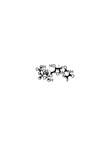 C[C@@H](OP(=O)(O)OP(=O)(O)OP(=O)(O)O)[C@H]1O[C@@H](n2nc(F)c(=O)[nH]c2=O)[C@](C)(F)C1O